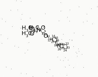 COC(CN(C)C(=O)CCOCCc1cccc(CN2CC3CCCC3C2)c1)OC